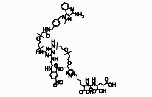 Cc1nc2c(N)nc3ccccc3c2n1Cc1ccc(CNC(=O)CC(C)(C)OCCC(C)(C)Nc2nc(NCCNc3ccc([N+](=O)[O-])cc3[N+](=O)[O-])nc(NC(C)(C)CCOC(C)(C)CCOCc3cn(CCCCC(NC(=O)N[C@@H](CCC(=O)O)C(=O)O)C(=O)O)nn3)n2)cc1